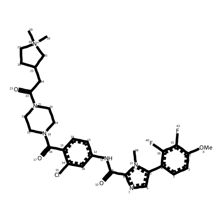 COc1ccc(-c2cnc(C(=O)Nc3ccc(C(=O)N4CCN(C(=O)CC5CC[N+](C)(C)C5)CC4)c(Cl)c3)n2C)c(F)c1F